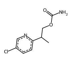 CC(COC(N)=O)c1ccc(Cl)cn1